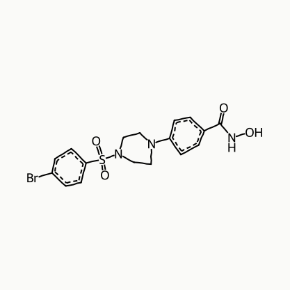 O=C(NO)c1ccc(N2CCN(S(=O)(=O)c3ccc(Br)cc3)CC2)cc1